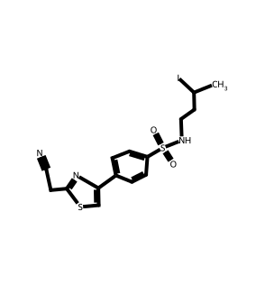 CC(I)CCNS(=O)(=O)c1ccc(-c2csc(CC#N)n2)cc1